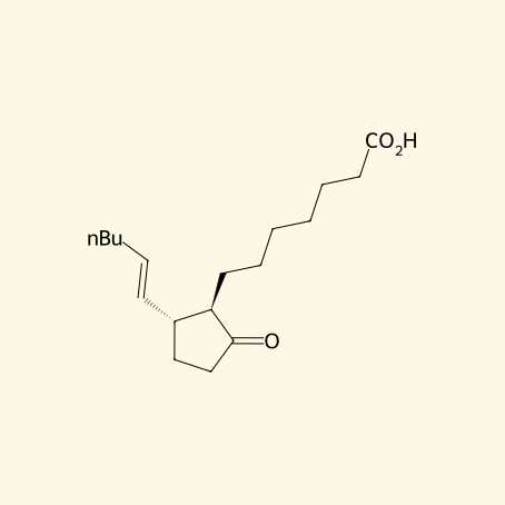 CCCCC=C[C@H]1CCC(=O)[C@@H]1CCCCCCC(=O)O